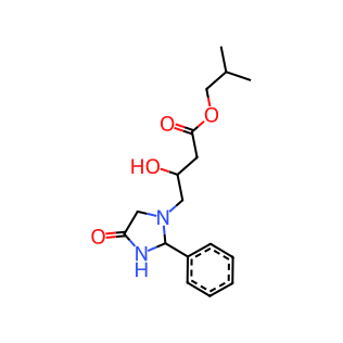 CC(C)COC(=O)CC(O)CN1CC(=O)NC1c1ccccc1